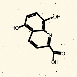 O=C(O)c1ccc2c(O)ccc(O)c2n1